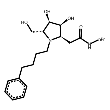 CCCNC(=O)C[C@@H]1[C@H](O)[C@H](O)[C@@H](CO)N1CCCCc1ccccc1